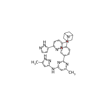 Cc1cc(Nc2cc(C)[nH]n2)nc(-c2ccc(N3CC4CC(C3)N4Cc3ccc(-c4ccn[nH]4)nc3)nc2)n1